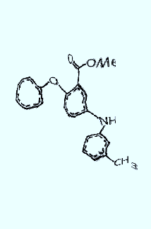 COC(=O)c1cc(Nc2cccc(C)c2)ccc1Oc1ccccc1